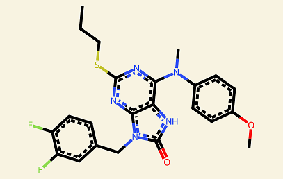 CCCSc1nc(N(C)c2ccc(OC)cc2)c2[nH]c(=O)n(Cc3ccc(F)c(F)c3)c2n1